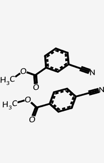 COC(=O)c1ccc(C#N)cc1.COC(=O)c1cccc(C#N)c1